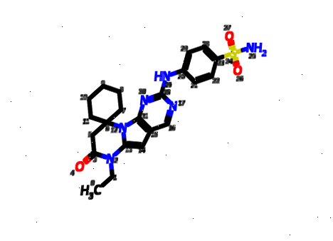 CCN1C(=O)CC2(CCCCC2)n2c1cc1cnc(Nc3ccc(S(N)(=O)=O)cc3)nc12